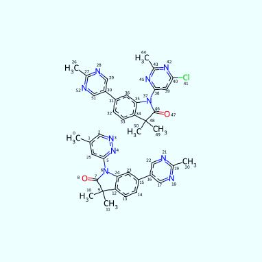 Cc1cnnc(N2C(=O)C(C)(C)c3ccc(-c4cnc(C)nc4)cc32)c1.Cc1ncc(-c2ccc3c(c2)N(c2cc(Cl)nc(C)n2)C(=O)C3(C)C)cn1